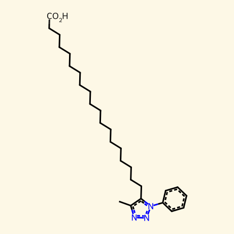 Cc1nnn(-c2ccccc2)c1CCCCCCCCCCCCCCCCCCC(=O)O